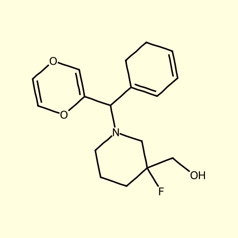 OCC1(F)CCCN(C(C2=CC=CCC2)C2=COC=CO2)C1